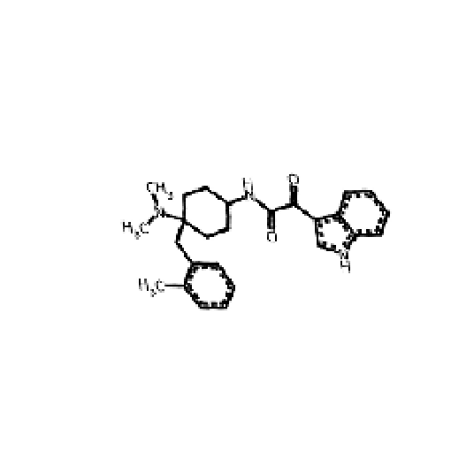 Cc1ccccc1CC1(N(C)C)CCC(NC(=O)C(=O)c2c[nH]c3ccccc23)CC1